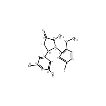 COc1ccc(Cl)cc1N1C(c2cc(Cl)cc(Cl)c2)OC(=O)N1C